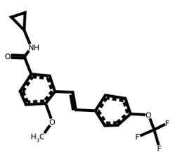 COc1ccc(C(=O)NC2CC2)cc1C=Cc1ccc(OC(F)(F)F)cc1